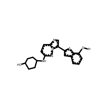 CC(C)Oc1cccc2cc(-c3cnc4ccc(NC5CCC(O)CC5)nn34)sc12